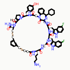 C[C@@]12CCCN1C(=O)[C@H](Cc1ccc(O)cc1)NC(=O)CN1C(=O)[C@@H](N=C(C3CCCCC3)c3ccccc31)NC(=O)[C@H](Cc1c[nH]c3ccc(F)cc13)NC(=O)[C@H](Cc1c[nH]c3ccc(F)cc13)NC(=O)CNC(=O)[C@H](CCCCN)NC(=O)CCSCc1cccc(c1)CSC[C@@H](C(N)=O)NC2=O